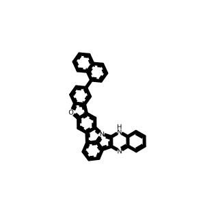 C1=CC2=Nc3c(n4c5cc6c(cc5c5cccc3c54)oc3ccc(-c4cccc5ccccc45)cc36)NC2C=C1